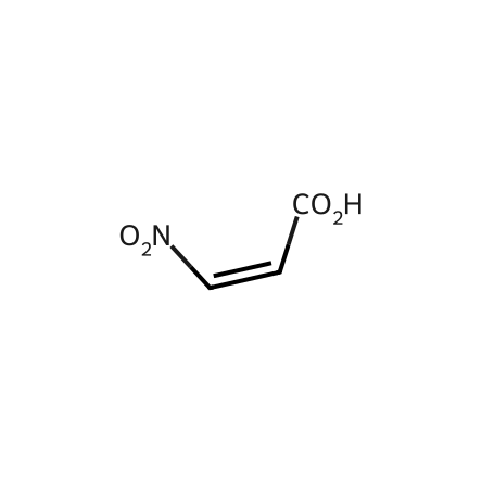 O=C(O)/C=C\[N+](=O)[O-]